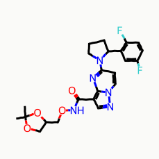 CC1(C)OCC(CONC(=O)c2cnn3ccc(N4CCCC4c4cc(F)ccc4F)nc23)O1